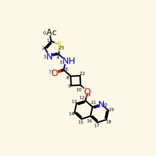 CC(=O)c1cnc(NC(=O)C2CC(Oc3cccc4cccnc34)C2)s1